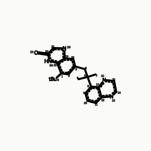 CC(C)(C)c1cc(CC(C)(C)c2cccc3nccnc23)cc2ncc(=O)[nH]c12